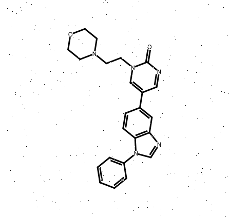 O=c1ncc(-c2ccc3c(c2)ncn3-c2ccccc2)cn1CCN1CCOCC1